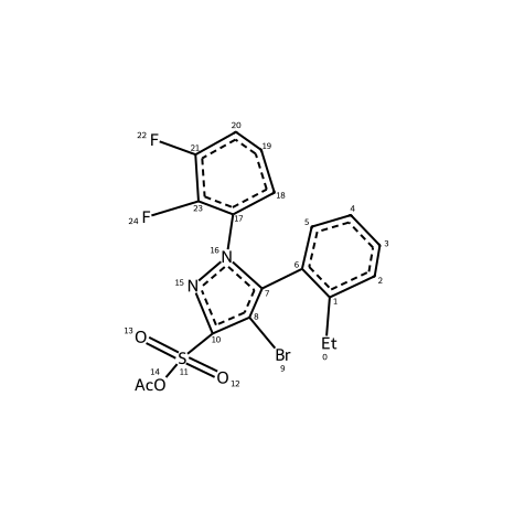 CCc1ccccc1-c1c(Br)c(S(=O)(=O)OC(C)=O)nn1-c1cccc(F)c1F